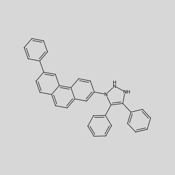 c1ccc(C2=C(c3ccccc3)N(c3ccc4c(ccc5ccc(-c6ccccc6)cc54)c3)NN2)cc1